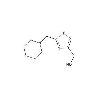 OCc1csc(CN2CCCCC2)n1